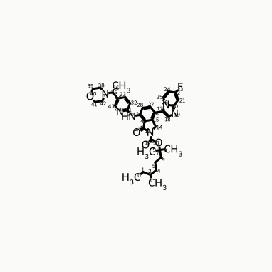 CCC(C)CCCC(C)(C)OC(=O)N1Cc2c(-c3cnc4cc(F)ccn34)ccc(Nc3ccc([C@@H](C)N4CCOCC4)cn3)c2C1=O